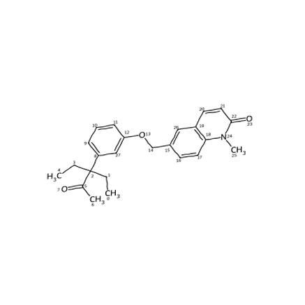 CCC(CC)(C(C)=O)c1cccc(OCc2ccc3c(ccc(=O)n3C)c2)c1